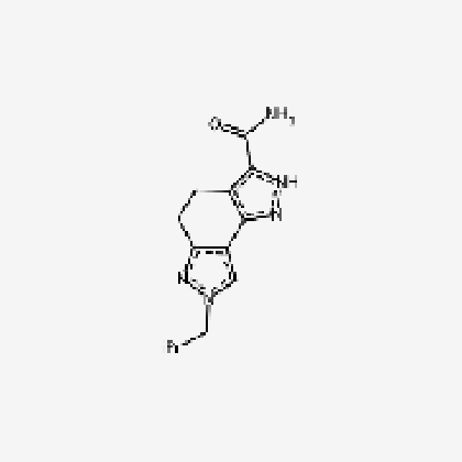 CC(C)Cn1cc2c(n1)CCc1c-2n[nH]c1C(N)=O